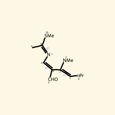 CCC/C=C(NC)/C(C=O)=C\N=C(/C)SC